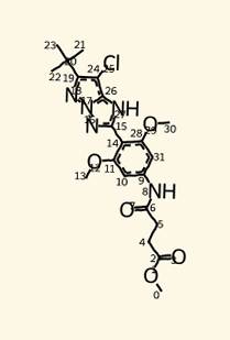 COC(=O)CCC(=O)Nc1cc(OC)c(-c2nn3nc(C(C)(C)C)c(Cl)c3[nH]2)c(OC)c1